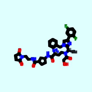 CC(C)(C)[C@H](c1nc(-c2cc(F)ccc2F)cn1Cc1ccccc1)N(CC[C@H](N)C(=O)NC1CCC(C(=O)NCCN2C(=O)C=CC2=O)C1)C(=O)CO